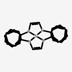 C1=CN(c2ccccc2)[Si]2(N1c1ccccc1)N(c1ccccc1)C=CN2c1ccccc1